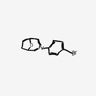 Brc1ccc(N2CC3CCC(C2)O3)cc1